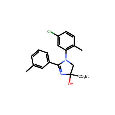 CCOC(=O)C1(O)CN(c2cc(Cl)ccc2C)C(c2cccc(C)c2)=N1